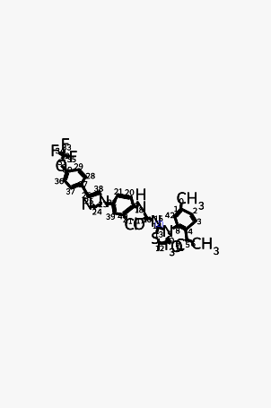 Cc1ccc(C(C)C)c(N2C(=O)CS/C2=N\C(=O)Nc2ccc(-n3cnc(-c4ccc(OC(F)(F)F)cc4)c3)cc2Cl)c1